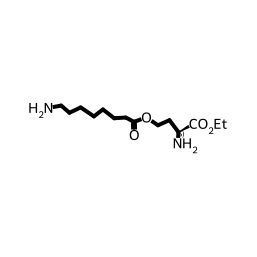 CCOC(=O)[C@@H](N)CCOC(=O)CCCCCCCN